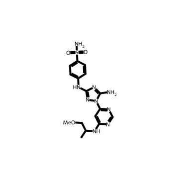 COCC(C)Nc1cc(-n2nc(Nc3ccc(S(N)(=O)=O)cc3)nc2N)ncn1